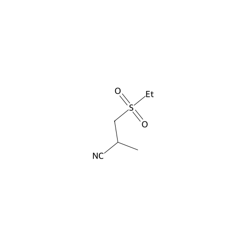 CCS(=O)(=O)CC(C)C#N